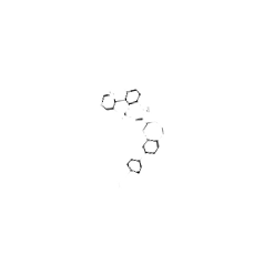 Cc1ccc(-c2ccc3c(c2)C=C(C(=O)Nc2ccc(O)c(-c4ncccc4O)c2C)CCC3)cc1